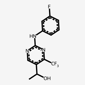 CC(O)c1cnc(Nc2cccc(F)c2)nc1C(F)(F)F